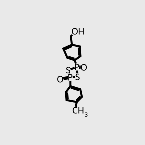 Cc1ccc(P2(=O)SP(=O)(c3ccc(CO)cc3)S2)cc1